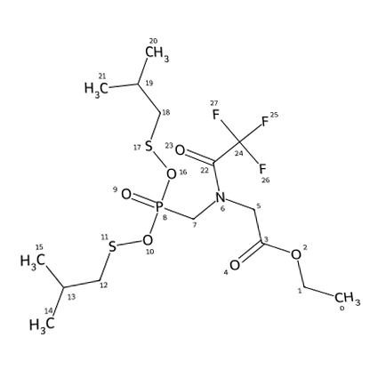 CCOC(=O)CN(CP(=O)(OSCC(C)C)OSCC(C)C)C(=O)C(F)(F)F